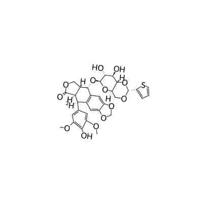 [2H][C@@]1(c2cc(OC)c(O)c(OC)c2)c2cc3c(cc2[C@@H](O[C@@H]2O[C@@H]4CO[C@@H](c5cccs5)O[C@H]4[C@H](O)[C@H]2O)[C@H]2COC(=O)[C@@H]21)OCO3